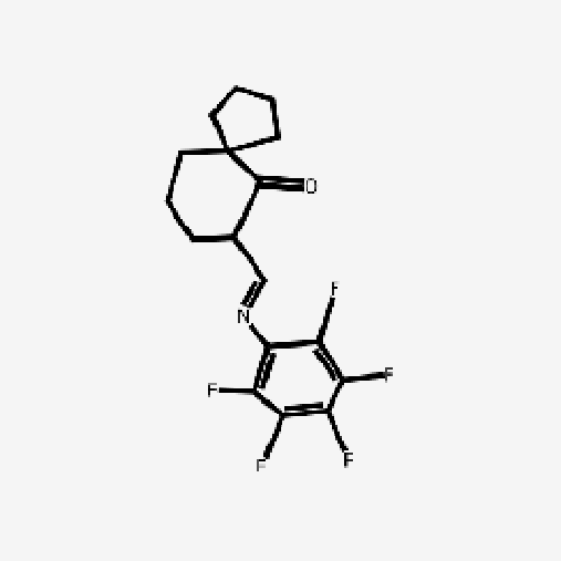 O=C1C(C=Nc2c(F)c(F)c(F)c(F)c2F)CCCC12CCCC2